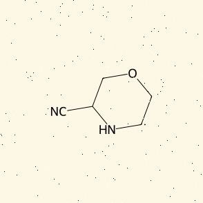 N#CC1COC[CH]N1